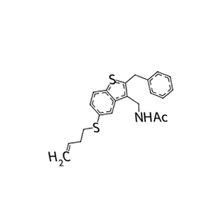 C=CCCSc1ccc2sc(Cc3ccccc3)c(CNC(C)=O)c2c1